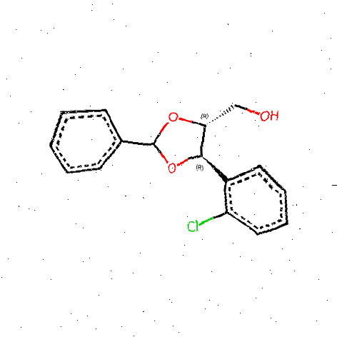 OC[C@H]1OC(c2ccccc2)O[C@@H]1c1ccccc1Cl